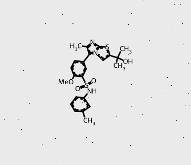 COc1ccc(-c2c(C)nc3sc(C(C)(C)O)cn23)cc1S(=O)(=O)Nc1cccc(C)c1